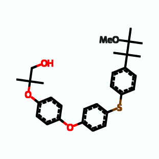 COC(C)(C)C(C)(C)c1ccc(Sc2ccc(Oc3ccc(OC(C)(C)CO)cc3)cc2)cc1